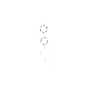 [CH2]C(CCc1nc(CC)c(-c2c(C)cc(C)cc2OC)nc1CC)NCCC